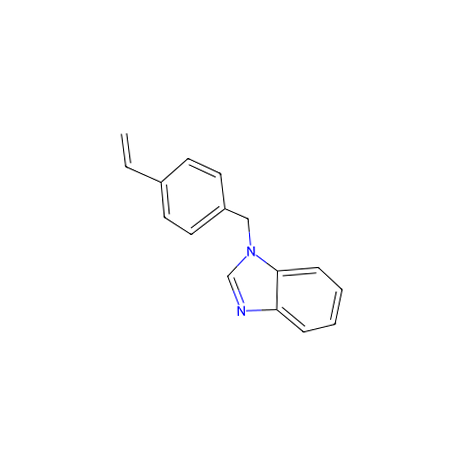 C=Cc1ccc(Cn2cnc3ccccc32)cc1